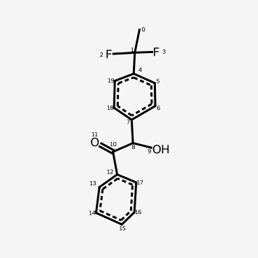 CC(F)(F)c1ccc(C(O)C(=O)c2ccccc2)cc1